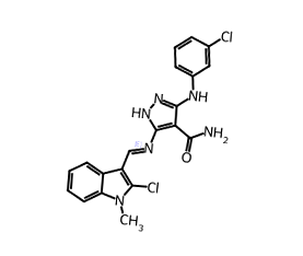 Cn1c(Cl)c(/C=N/c2[nH]nc(Nc3cccc(Cl)c3)c2C(N)=O)c2ccccc21